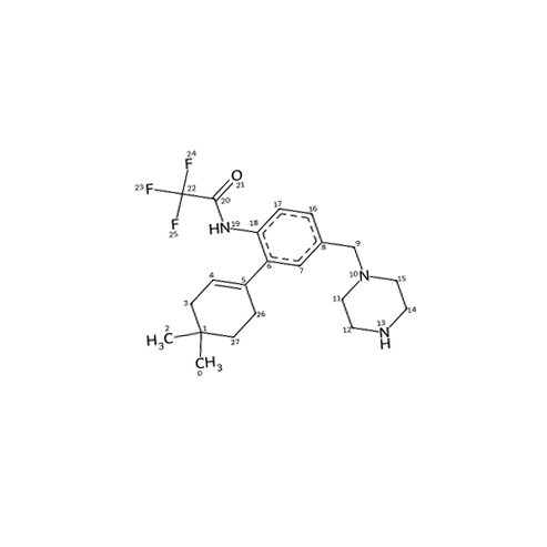 CC1(C)CC=C(c2cc(CN3CCNCC3)ccc2NC(=O)C(F)(F)F)CC1